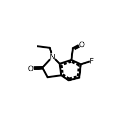 CCN1C(=O)Cc2ccc(F)c(C=O)c21